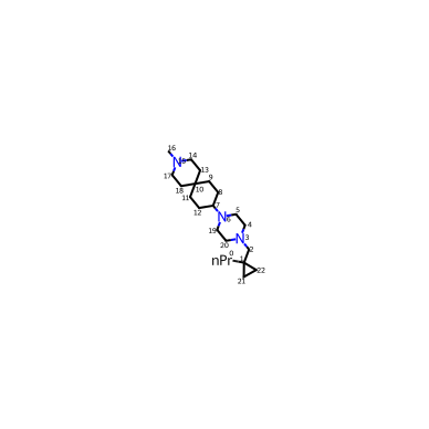 CCCC1(CN2CCN(C3CCC4(CC3)CCN(C)CC4)CC2)CC1